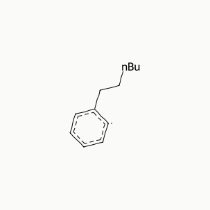 [CH2]CCCCCc1[c]cccc1